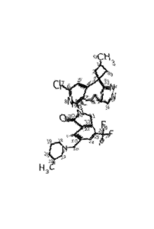 CC1CC(c2cc(Cl)nc(N3Cc4c(cc(CN5CCC[C@H](C)C5)cc4C(F)(F)F)C3=O)c2)(c2nncn2C)C1